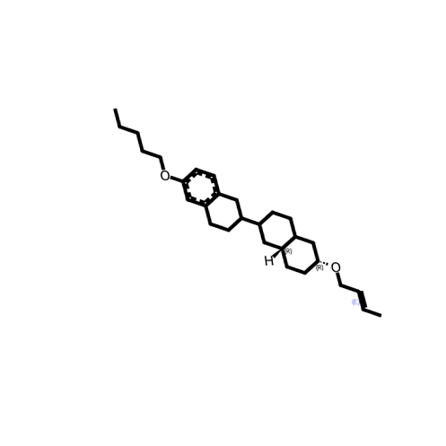 C/C=C/CO[C@@H]1CC[C@@H]2CC(C3CCc4cc(OCCCCC)ccc4C3)CCC2C1